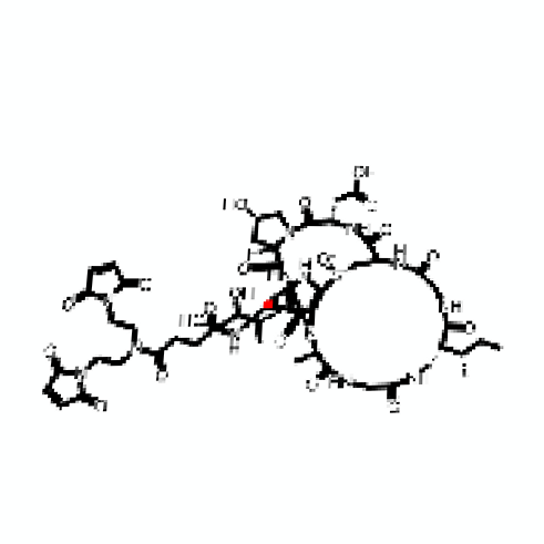 CC[C@H](C)[C@@H]1CNC(=O)CNC(=O)C(C)N2C(=O)[C@H](C(C)C(O)CO)NC(=O)[C@@H]3C[C@@H](O)CN3C(=O)[C@H](CC(=O)O)NC(=O)[C@H](C[S+]([O-])c3[nH]c4ccc(NC(=O)CCC(=O)N(CCN5C(=O)C=CC5=O)CCN5C(=O)C=CC5=O)cc4c32)NC(=O)CNC1=O